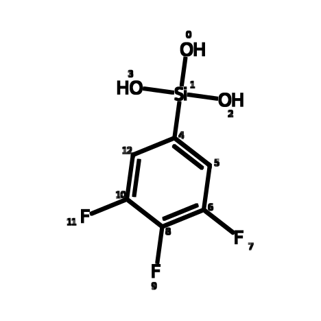 O[Si](O)(O)c1cc(F)c(F)c(F)c1